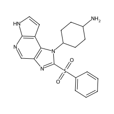 NC1CCC(n2c(S(=O)(=O)c3ccccc3)nc3cnc4[nH]ccc4c32)CC1